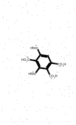 CCCCCCCCCc1cc(C(=O)O)c(C(=O)O)c(CCCCCCCCC)c1C(=O)O